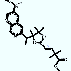 COC(=O)C(C)(C)/C=C/B1OC(C)(C)C(C)(C(C)c2cc3cc([C@@H](C)O)cnc3cn2)O1